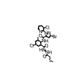 CSCC(=O)NNC(=O)c1cc(Cl)cc(C)c1NC(=O)c1cc(Br)nn1-c1ncccc1Cl